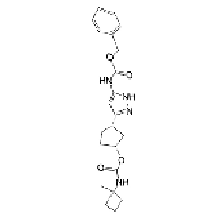 CC1(NC(=O)O[C@@H]2CC[C@H](c3cc(NC(=O)OCc4ccccc4)[nH]n3)C2)CCC1